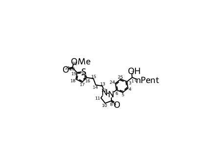 CCCCCC(O)c1ccc(N2C(=O)CCN2CCCc2ccc(C(=O)OC)s2)cc1